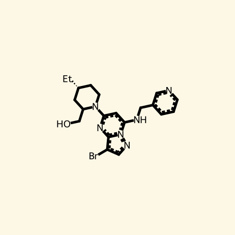 CC[C@@H]1CCN(c2cc(NCc3cccnc3)n3ncc(Br)c3n2)C(CO)C1